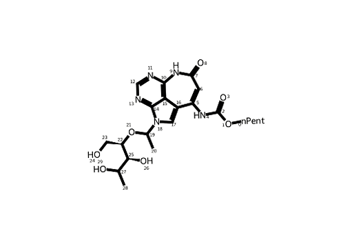 CCCCCOC(=O)NC1=CC(=O)Nc2ncnc3c2c1cn3C(C)O[C@H](CO)[C@@H](O)C(C)O